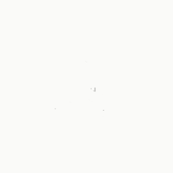 CC(C)CC(=O)C(=O)O.N[C@@H](CC(=O)O)C(=O)O